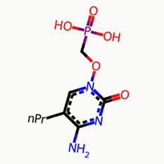 CCCc1cn(OCP(=O)(O)O)c(=O)nc1N